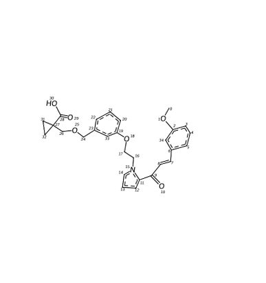 COc1cccc(/C=C/C(=O)c2cccn2CCOc2cccc(COCC3(C(=O)O)CC3)c2)c1